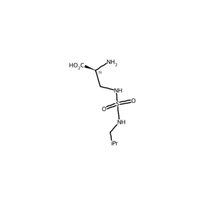 CC(C)CNS(=O)(=O)NC[C@H](N)C(=O)O